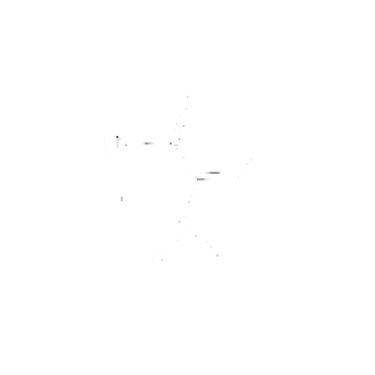 CC/C=C(\C(N)=O)P(=O)(O)O